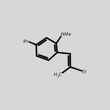 CC/C(C)=C/c1ccc(C(C)C)cc1NC